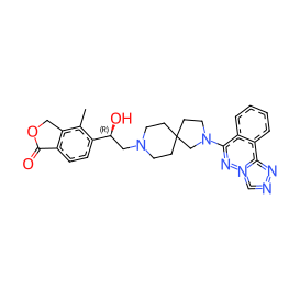 Cc1c([C@@H](O)CN2CCC3(CC2)CCN(c2nn4cnnc4c4ccccc24)C3)ccc2c1COC2=O